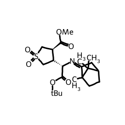 COC(=O)[C@@H]1CS(=O)(=O)CC1[C@H](/N=C1/CC2CCC1(C)C2(C)C)C(=O)OC(C)(C)C